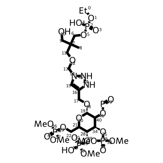 CCOP(=O)(O)OCC(C)(CO)COCN1C=C(CO[C@H]2OC(COP(=O)(OC)OC)[C@@H](OP(=O)(O)OC)[C@H](OP(=O)(OC)OC)C2OP=O)NN1